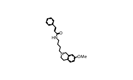 COc1ccc2c(c1)CN(CCCCNC(=O)C=Cc1ccccc1)CC2